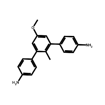 COc1cc(-c2ccc(N)cc2)c(C)c(-c2ccc(N)cc2)c1